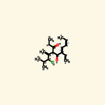 C=C/C(=C\C=C/C)C(=O)C(C(=C)C(Cl)C(C)C)C(=O)CC